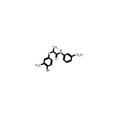 Cc1cc(OC(C)C(=O)Nc2cccc(C(=O)O)c2)ccc1C(C)C